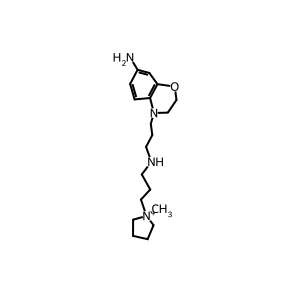 C[N+]1(CCCNCCCN2CCOc3cc(N)ccc32)CCCC1